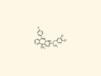 CC(Cc1ccc(Cl)c(Cl)c1)C(=O)NC1N=C(c2ccc(F)cc2)c2ccccc2N(C)C1=O